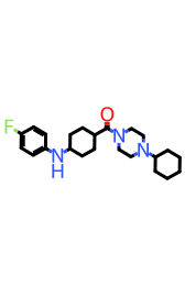 O=C(C1CCC(Nc2ccc(F)cc2)CC1)N1CCN(C2CCCCC2)CC1